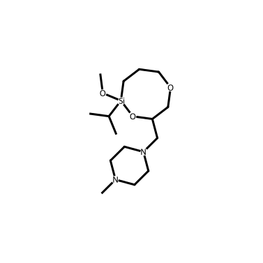 CO[Si]1(C(C)C)CCCOCC(CN2CCN(C)CC2)O1